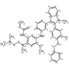 C=CC(=O)Nc1cc(Nc2cc(-c3c(-c4ccc(OCc5ccccn5)c(Cl)c4)n(C)c4ccccc34)ccn2)c(OC)cc1N(C)CCN(C)C